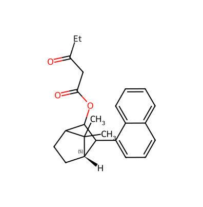 CCC(=O)CC(=O)OC1C(c2cccc3ccccc23)[C@@H]2CCC1C2(C)C